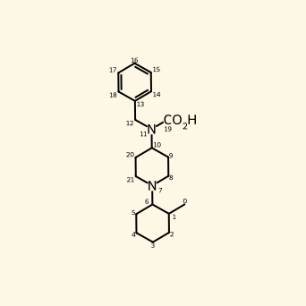 CC1CCCCC1N1CCC(N(Cc2ccccc2)C(=O)O)CC1